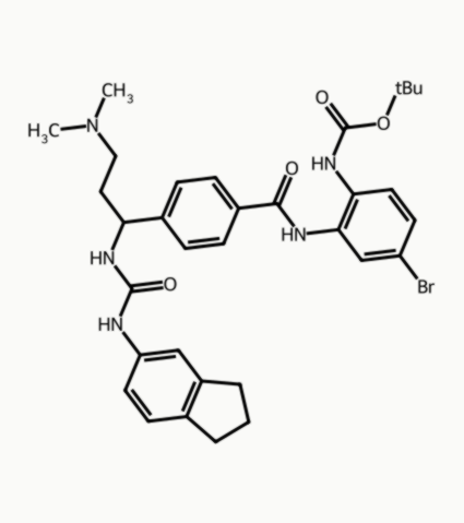 CN(C)CCC(NC(=O)Nc1ccc2c(c1)CCC2)c1ccc(C(=O)Nc2cc(Br)ccc2NC(=O)OC(C)(C)C)cc1